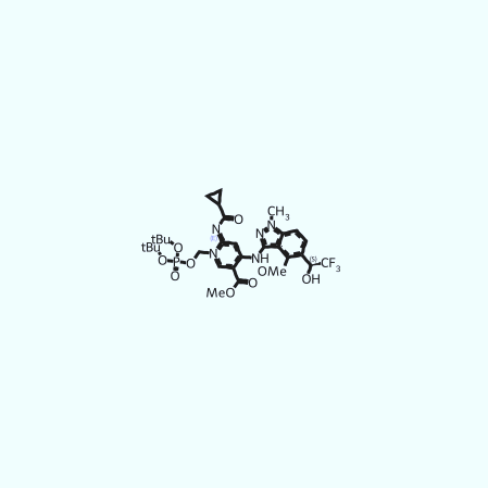 COC(=O)c1cn(COP(=O)(OC(C)(C)C)OC(C)(C)C)/c(=N/C(=O)C2CC2)cc1Nc1nn(C)c2ccc([C@H](O)C(F)(F)F)c(OC)c12